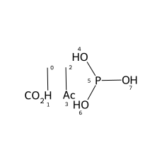 CC(=O)O.CC(C)=O.OP(O)O